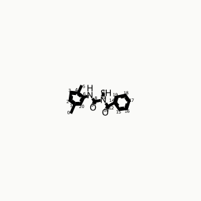 Cc1ccc(C)c(NC(=O)N(S)C(=O)c2ccccc2)c1